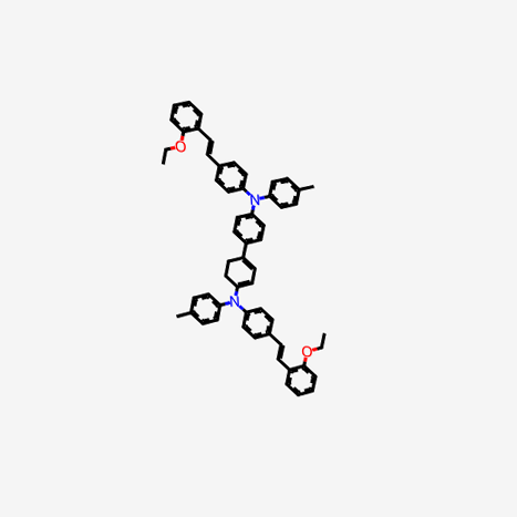 CCOc1ccccc1/C=C/c1ccc(N(C2=CC=C(c3ccc(N(c4ccc(C)cc4)c4ccc(/C=C/c5ccccc5OCC)cc4)cc3)CC2)c2ccc(C)cc2)cc1